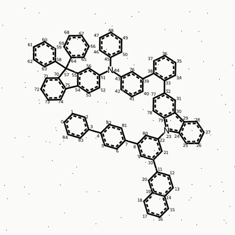 c1ccc(-c2ccc(-c3cc(-c4ccc5ccccc5c4)cc(-n4c5ccccc5c5cc(-c6ccccc6-c6cccc(N(c7ccccc7)c7ccc8c(c7)C(c7ccccc7)(c7ccccc7)c7ccccc7-8)c6)ccc54)c3)cc2)cc1